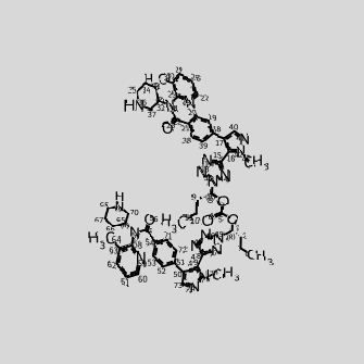 CCC[C@@H](OC(=O)O[C@H](CCC)n1nnc(-c2c(-c3ccc(C(=O)N(c4ncccc4C)[C@@H]4CCCNC4)cc3)cnn2C)n1)n1nnc(-c2c(-c3ccc(C(=O)N(c4ncccc4C)[C@@H]4CCCNC4)cc3)cnn2C)n1